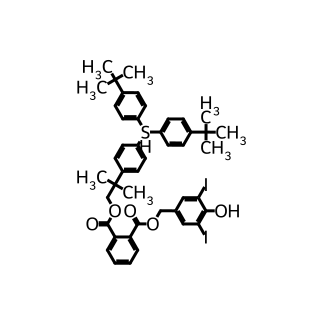 CC(C)(C)c1ccc([SH](c2ccc(C(C)(C)C)cc2)c2ccc(C(C)(C)COC(=O)c3ccccc3C(=O)OCc3cc(I)c(O)c(I)c3)cc2)cc1